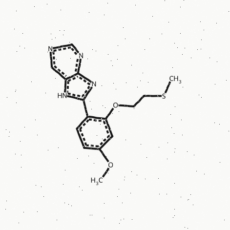 COc1ccc(-c2nc3ncncc3[nH]2)c(OCCSC)c1